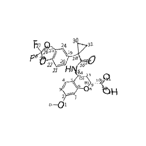 COc1ccc2c(c1)O[C@@H](C(=O)O)C[C@@H]2NC(=O)C1(c2ccc3c(c2)OC(F)(F)O3)CC1